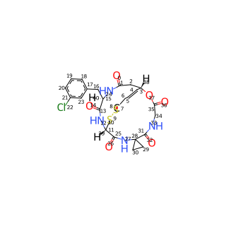 O=C1C[C@H]2/C=C/CCSSC[C@@H](NC(=O)[C@@H](Cc3cccc(Cl)c3)N1)C(=O)NC1(CC1)C(=O)NCC(=O)O2